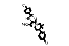 CC(O)[C@@H](NC(=O)c1ccc(Cl)cc1)C(=O)N1CCC(c2ccc(Cl)cc2)C(C)(C)C1